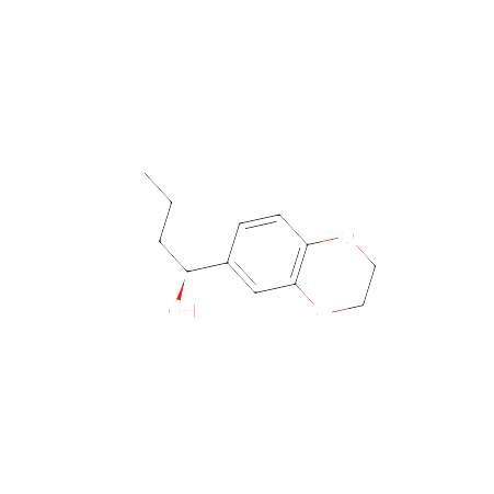 CC[C@@H](C)[C@H](O)c1ccc2c(c1)OCCO2